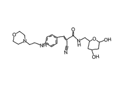 N#C/C(=C\c1ccc(NCCN2CCOCC2)cc1)C(=O)NCC1CC(O)CC(O)O1